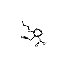 CCCOc1cccc([N+](=O)[O-])c1CC#N